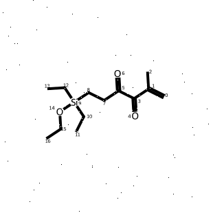 C=C(C)C(=O)C(=O)CC[Si](CC)(CC)OCC